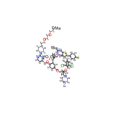 COCCOCCOCCC1CCN(c2nccc(COc3ccc4cc3C[C@H](C(=O)O)Oc3nc(C(C)(C)C)nc5sc(-c6ccc(F)cc6)c(c35)-c3c(C)c(Cl)c(c(Cl)c3C)O[C@H](CN3CCN(C)CC3)CO4)n2)CC1